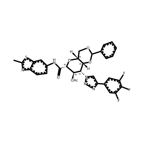 CC(=O)O[C@@H]1[C@@H](n2cc(-c3cc(F)c(F)c(F)c3)nn2)[C@H]2OC(c3ccccc3)OC[C@H]2O[C@H]1C(=O)Nc1ccc2nc(C)sc2c1